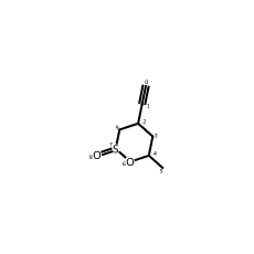 C#CC1CC(C)OS(=O)C1